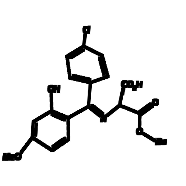 CCC(C)OC(=O)C(N=C(c1ccc(Cl)cc1)c1ccc(OC)cc1O)C(=O)O